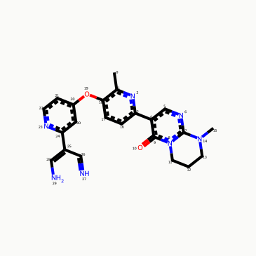 Cc1nc(-c2cnc3n(c2=O)CCCN3C)ccc1Oc1ccnc(/C(C=N)=C/N)c1